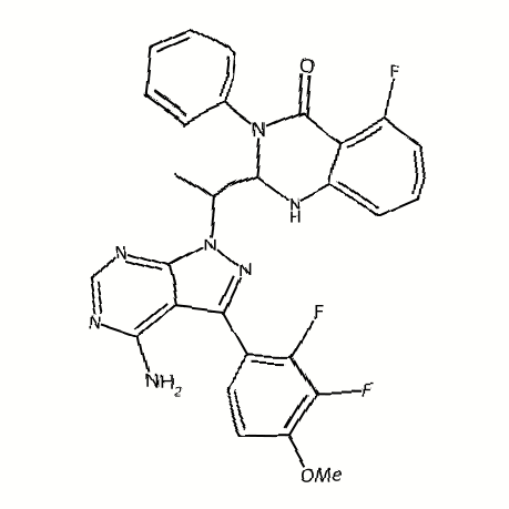 COc1ccc(-c2nn(C(C)C3Nc4cccc(F)c4C(=O)N3c3ccccc3)c3ncnc(N)c23)c(F)c1F